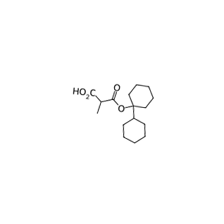 CC(C(=O)O)C(=O)OC1(C2CCCCC2)CCCCC1